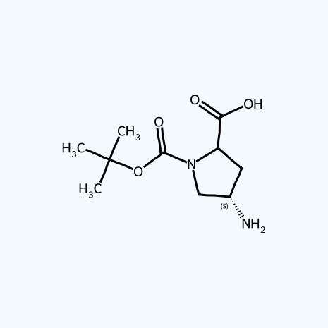 CC(C)(C)OC(=O)N1C[C@@H](N)CC1C(=O)O